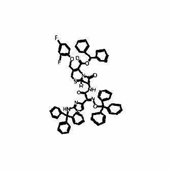 O=C(NC1C(=O)N2C(C(=O)OC(c3ccccc3)c3ccccc3)=C(COc3ccc(F)cc3F)CS[C@@H]12)C(=NOC(c1ccccc1)(c1ccccc1)c1ccccc1)c1csc(NC(c2ccccc2)(c2ccccc2)c2ccccc2)n1